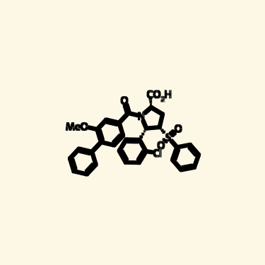 COc1cc(C(=O)N2[C@H](C(=O)O)C[C@H](S(=O)(=O)c3ccccc3)[C@@H]2c2ccccc2Cl)ccc1-c1ccccc1